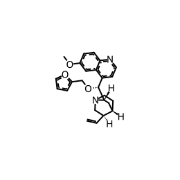 C=C[C@H]1CN2CC[C@H]1C[C@H]2[C@H](OCc1ccco1)c1ccnc2ccc(OC)cc12